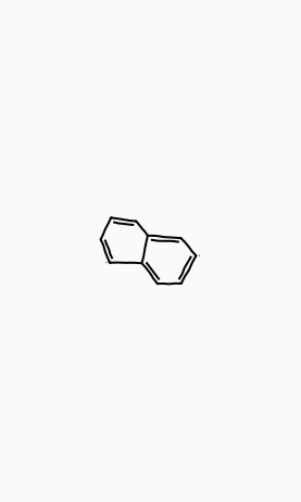 [c]1ccc2[c]cccc2c1